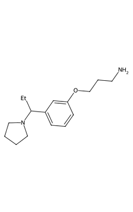 CCC(c1cccc(OCCCN)c1)N1CCCC1